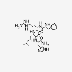 CC(C)CCC[C@H](NC(=O)[C@@H](CCCNC(=N)N)NC(=O)[C@@H](N)Cc1ccccc1)C(=O)N[C@@H](Cc1c[nH]cn1)C(N)=O